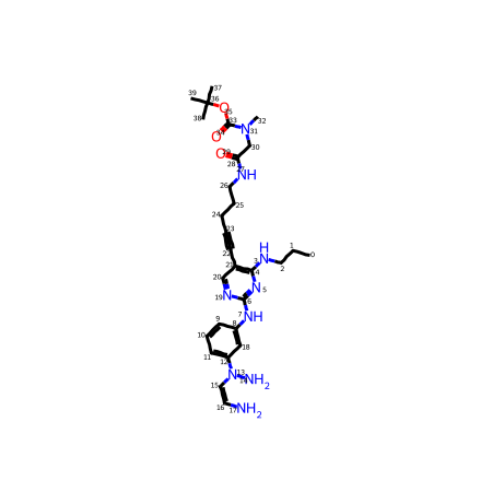 CCCNc1nc(Nc2cccc(N(N)/C=C\N)c2)ncc1C#CCCCNC(=O)CN(C)C(=O)OC(C)(C)C